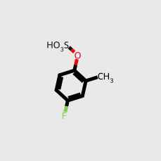 Cc1cc(F)ccc1OS(=O)(=O)O